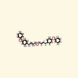 C(=C\Cc1ccc(Oc2ccccc2)cc1)/COC/C=C/Cc1ccc(Oc2ccccc2)cc1